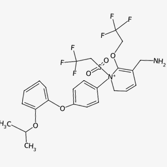 CC(C)Oc1ccccc1Oc1ccc([N+]2(S(=O)(=O)CC(F)(F)F)CC=CC(CN)=C2OCC(F)(F)F)cc1